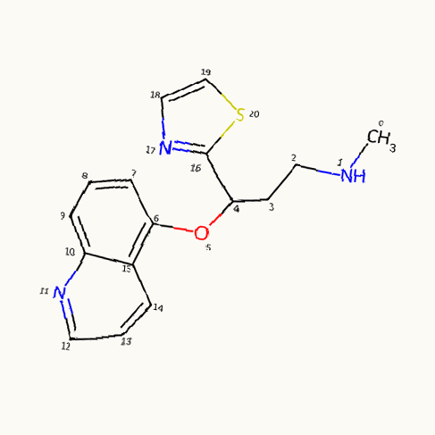 CNCCC(Oc1cccc2ncccc12)c1nccs1